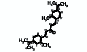 Cc1cc(N(C)C)ccc1C=CC(=O)C=Cc1ccc(N(C)C)cc1C